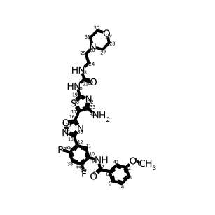 COc1cccc(C(=O)Nc2cc(-c3noc(-c4sc(NC(=O)NCCN5CCOCC5)nc4N)n3)c(F)cc2F)c1